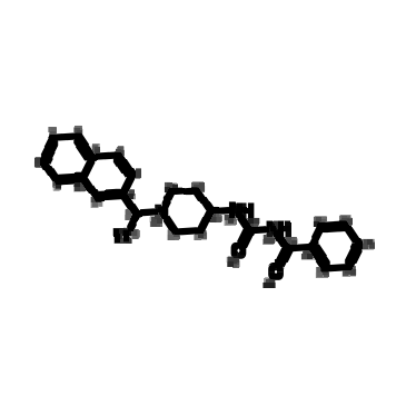 CCC(c1ccc2ccccc2c1)N1CCC(NC(=O)NC(=O)c2ccccc2)CC1